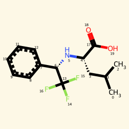 CC(C)C[C@H](N[C@@H](c1ccccc1)C(F)(F)F)C(=O)O